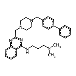 CN(C)CCCNc1nc(CN2CCN(Cc3ccc(-c4ccccc4)cc3)CC2)nc2ccccc12